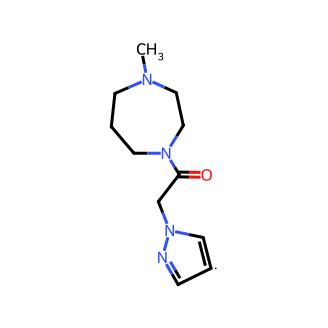 CN1CCCN(C(=O)Cn2c[c]cn2)CC1